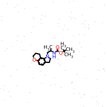 CC(CN1CCc2ccc3c(c21)CCCO3)NC(=O)OC(C)(C)C